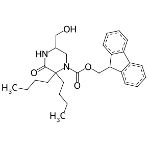 CCCCC1(CCCC)C(=O)NC(CO)CN1C(=O)OCC1c2ccccc2-c2ccccc21